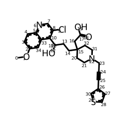 COc1ccc2ncc(Cl)c([C@H](O)CCC3(CC(=O)O)CCN(CC#Cc4ccsc4)CC3)c2c1